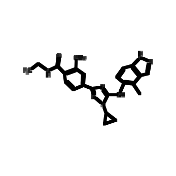 COc1cc(-c2nc(Nc3ccc4[nH]ncc4c3C)n(C3CC3)n2)ccc1C(=O)NCC(F)(F)F